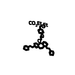 CCOC(=O)C(Cc1ccc(OCCOC2c3ccc(CCc4ccccc4)cc3C=Cc3c(CCc4ccccc4)cccc32)cc1)OCC